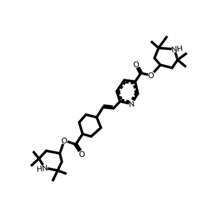 CC1(C)CC(OC(=O)c2ccc(/C=C/C3CCC(C(=O)OC4CC(C)(C)NC(C)(C)C4)CC3)nc2)CC(C)(C)N1